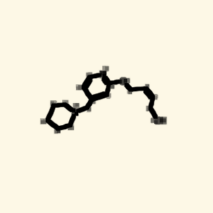 OC/C=C\COc1cc(CN2CCCCC2)ccn1